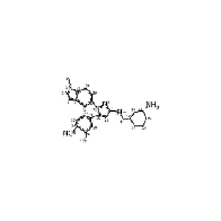 Cn1ncc2cc(-n3nc(NC[C@@H]4CCC[C@@H](N)C4)cc3-c3ccc(C#N)c(F)c3)ccc21